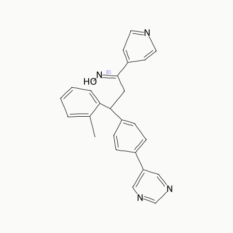 Cc1ccccc1C(C/C(=N\O)c1ccncc1)c1ccc(-c2cncnc2)cc1